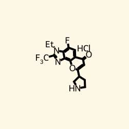 CCn1c(C(F)(F)F)nc2c3oc(C4CCNC4)cc(=O)c3cc(F)c21.Cl